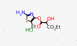 CCOC(=O)C(O)C(=O)Oc1nc(N)sc1CC.Cl